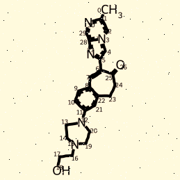 Cc1cn2cc(C3=Cc4ccc(N5CCN(CCO)CC5)cc4CCC3=O)nc2cn1